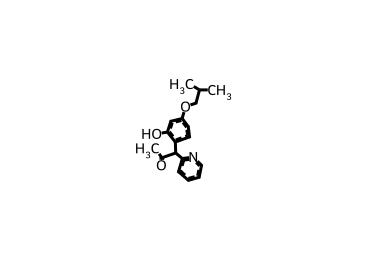 CC(=O)C(c1ccccn1)c1ccc(OCC(C)C)cc1O